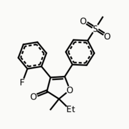 CCC1(C)OC(c2ccc(S(C)(=O)=O)cc2)=C(c2ccccc2F)C1=O